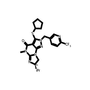 CC(C)[C@@H]1CN2C(=N1)N(C)C(=O)c1c2nn(Cc2ccc(C(F)(F)F)nc2)c1SC1CCCC1